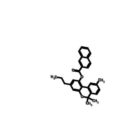 CCCc1cc(OC(=O)c2ccc3ccccc3c2)c2c(c1)OC(C)(C)c1ccc(C)cc1-2